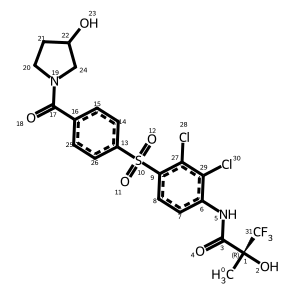 C[C@@](O)(C(=O)Nc1ccc(S(=O)(=O)c2ccc(C(=O)N3CCC(O)C3)cc2)c(Cl)c1Cl)C(F)(F)F